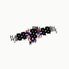 Bc1ccc2c3ccc4c5c(ccc(c6ccc(B)c1c26)c53)C(=O)N(Bc1cc(B)c2c(B)ccc3c5c(BN6C(=O)c7ccc8c9ccc(B)c%10c(B)ccc(c%11ccc(c7c8%11)C6=O)c%109)cc6c7c(ccc(c1c23)c75)C(=O)N(BCC)C6=O)C4=O